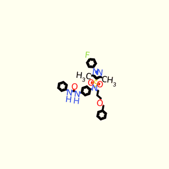 Cc1nn(-c2ccc(F)cc2)c(C)c1S(=O)(=O)N(CCCOCc1ccccc1)c1ccc(NC(=O)Nc2ccccc2)cc1